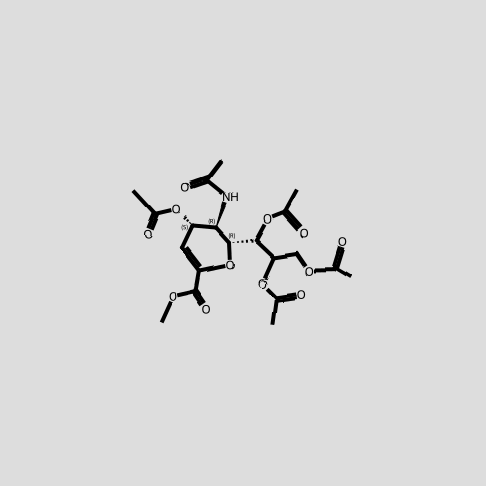 COC(=O)C1=C[C@H](OC(C)=O)[C@@H](NC(C)=O)[C@H](C(OC(C)=O)C(COC(C)=O)OC(C)=O)O1